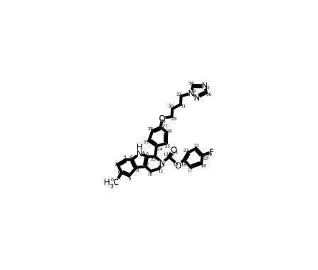 Cc1ccc2[nH]c3c(c2c1)CCN(C(=O)Oc1ccc(F)cc1)C3c1ccc(OCCCCn2cncn2)cc1